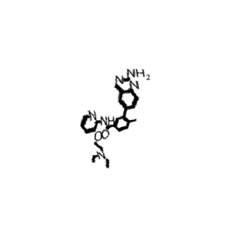 CCN(CC)CCOc1cccnc1NC(=O)c1ccc(C)c(-c2ccc3nc(N)ncc3c2)c1